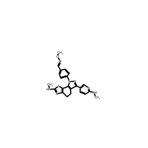 CNc1ccc(-c2nn(-c3ccc(/C=N/OC)cc3)c3c2CCc2nc(NC)sc2-3)cn1